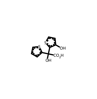 O=C(O)C(O)(c1cccs1)c1sccc1O